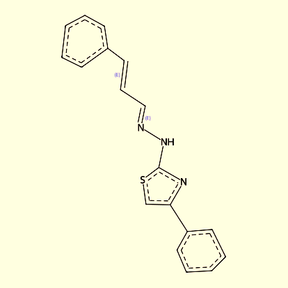 C(=C\c1ccccc1)/C=N/Nc1nc(-c2ccccc2)cs1